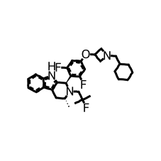 C[C@@H]1Cc2c([nH]c3ccccc23)[C@@H](c2c(F)cc(OC3CN(CC4CCCCC4)C3)cc2F)N1CC(C)(C)F